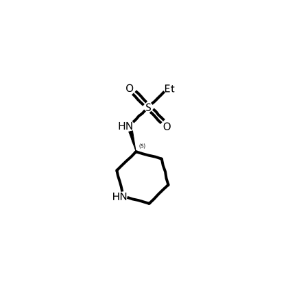 CCS(=O)(=O)N[C@H]1CCCNC1